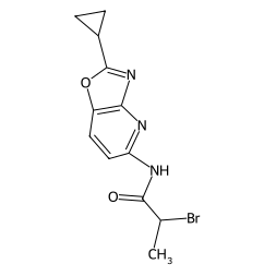 CC(Br)C(=O)Nc1ccc2oc(C3CC3)nc2n1